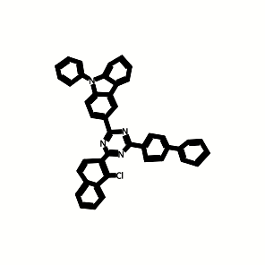 Clc1c(-c2nc(-c3ccc(-c4ccccc4)cc3)nc(-c3ccc4c(c3)c3ccccc3n4-c3ccccc3)n2)ccc2ccccc12